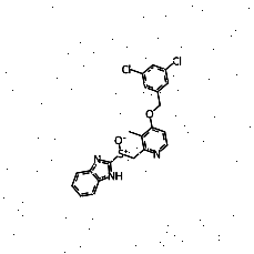 Cc1c(OCc2cc(Cl)cc(Cl)c2)ccnc1C[S+]([O-])c1nc2ccccc2[nH]1